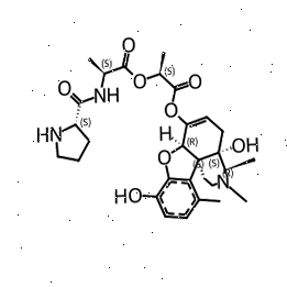 Cc1ccc(O)c2c1[C@]13CCN(C)[C@H](C)[C@]1(O)CC=C(OC(=O)[C@H](C)OC(=O)[C@H](C)NC(=O)[C@@H]1CCCN1)[C@@H]3O2